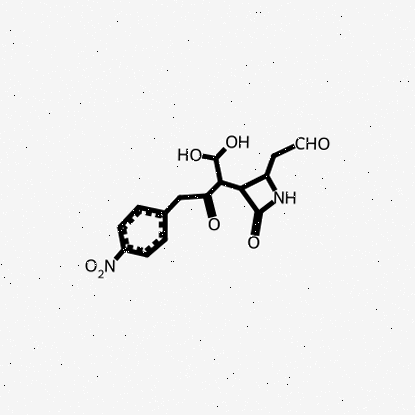 O=CCC1NC(=O)C1C(C(=O)Cc1ccc([N+](=O)[O-])cc1)C(O)O